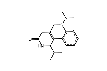 CC(C)C1NC(=O)CC2=C1c1cccnc1N(N(C)C)C2